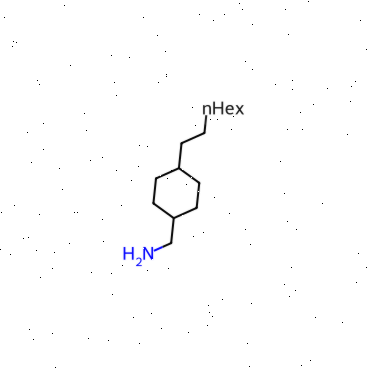 CCCCCCCCC1CCC(CN)CC1